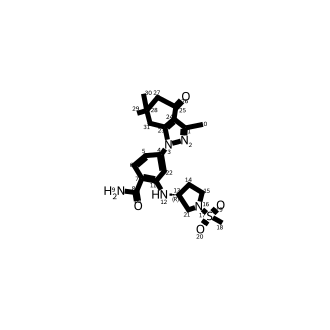 Cc1nn(-c2ccc(C(N)=O)c(N[C@@H]3CCN(S(C)(=O)=O)C3)c2)c2c1C(=O)CC(C)(C)C2